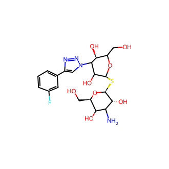 NC1C(O)[C@@H](CO)O[C@@H](S[C@@H]2OC(CO)[C@H](O)C(n3cc(-c4cccc(F)c4)nn3)C2O)[C@@H]1O